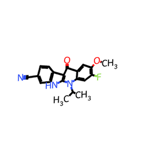 COc1cc2c(=O)c3c4ccc(C#N)cc4[nH]c3n(C(C)C)c2cc1F